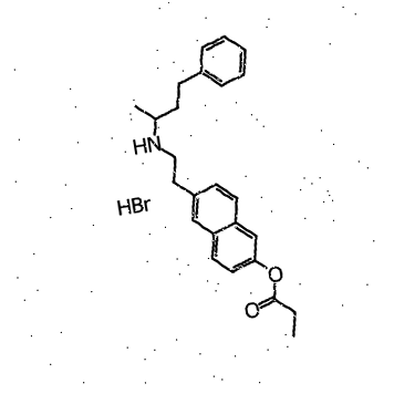 Br.CCC(=O)Oc1ccc2cc(CCNC(C)CCc3ccccc3)ccc2c1